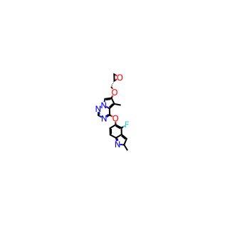 Cc1c(OC[C@@H]2CO2)cn2ncnc(Oc3ccc4c(c3F)=CC(C)N=4)c12